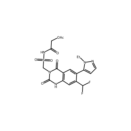 CCn1nccc1-c1cc2c(=O)n(CS(=O)(=O)NC(=O)COC(C)=O)c(=O)[nH]c2cc1C(F)F